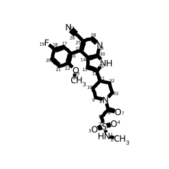 CNS(=O)(=O)CC(=O)N1CCC(c2cc3c(-c4cc(F)ccc4OC)c(C#N)cnc3[nH]2)CC1